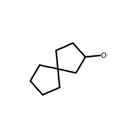 [O]C1CCC2(CCCC2)C1